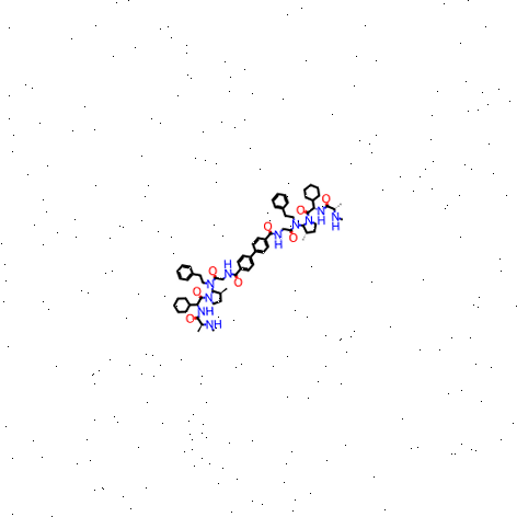 CN[C@@H](C)C(=O)N[C@H](C(=O)N1CC[C@H](C)C1N(CCc1ccccc1)C(=O)CNC(=O)c1ccc(-c2ccc(C(=O)NCC(=O)N(CCc3ccccc3)C3[C@@H](C)CCN3C(=O)[C@@H](NC(=O)[C@H](C)NC)C3CCCCC3)cc2)cc1)C1CCCCC1